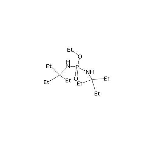 CCOP(=O)(NC(CC)(CC)CC)NC(CC)(CC)CC